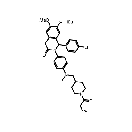 CC[C@@H](C)Oc1cc2c(cc1OC)CC(=O)N(c1ccc(N(C)CC3CCN(C(=O)CC(C)C)CC3)cc1)C2c1ccc(Cl)cc1